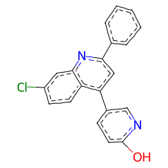 Oc1ccc(-c2cc(-c3ccccc3)nc3cc(Cl)ccc23)cn1